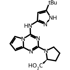 CC(C)(C)c1cc(Nc2nc(N3CCC[C@H]3C(=O)O)nc3cccn23)n[nH]1